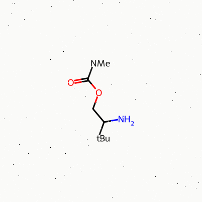 CNC(=O)OCC(N)C(C)(C)C